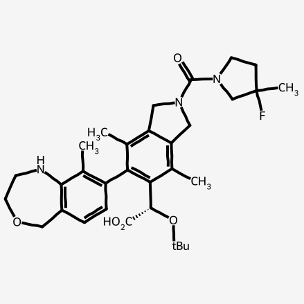 Cc1c(-c2c(C)c3c(c(C)c2[C@H](OC(C)(C)C)C(=O)O)CN(C(=O)N2CCC(C)(F)C2)C3)ccc2c1NCCOC2